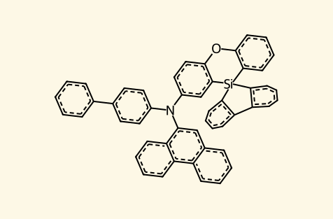 c1ccc(-c2ccc(N(c3ccc4c(c3)[Si]3(c5ccccc5O4)c4ccccc4-c4ccccc43)c3cc4ccccc4c4ccccc34)cc2)cc1